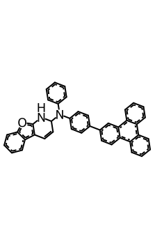 C1=CC(N(c2ccccc2)c2ccc(-c3ccc4c5ccccc5c5ccccc5c4c3)cc2)Nc2oc3ccccc3c21